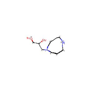 OCC(O)CN1CCCNCC1